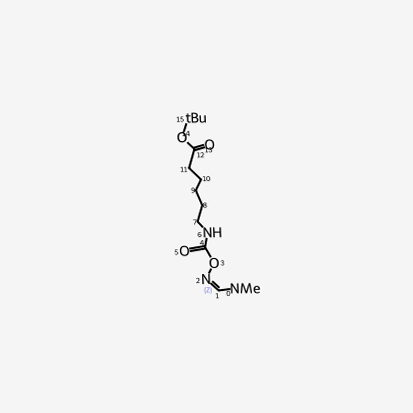 CN/C=N\OC(=O)NCCCCCC(=O)OC(C)(C)C